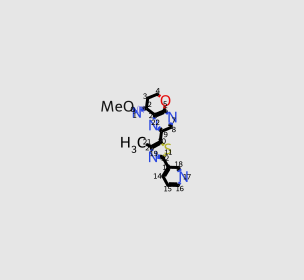 CO/N=C1\CCOc2ncc(-c3sc(-c4cccnc4)nc3C)nc21